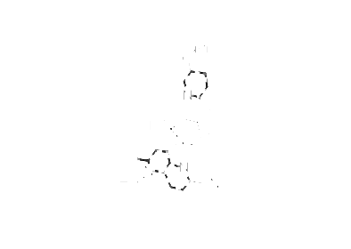 CC[C@@H]1CN(c2cc(=O)n(C)c3ccc(C#N)nc23)[C@@H](C)C[C@@H]1Oc1ccc(OC(C)C)cn1